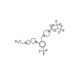 CCN1CC2(CCN(c3cc(C(F)(F)F)ccc3CN3CCN(C(=O)OC(C(F)(F)F)C(F)(F)F)CC3)C2)C1